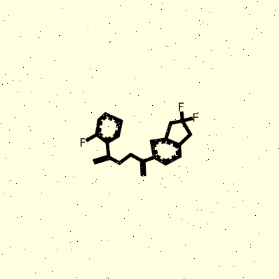 C=C(CCC(=C)c1ccccc1F)c1ccc2c(c1)CC(F)(F)C2